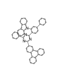 c1ccc(-c2ccc(-c3nc(-c4ccccc4)nc(-c4ccc5c6ccccc6c6ccccc6c5c4)n3)c(-n3c4ccccc4c4ccccc43)c2)cc1